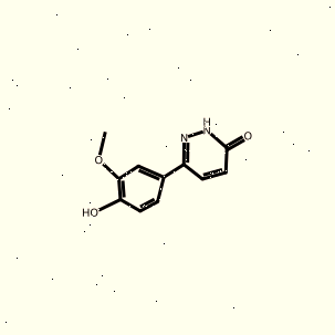 COc1cc(-c2ccc(=O)[nH]n2)ccc1O